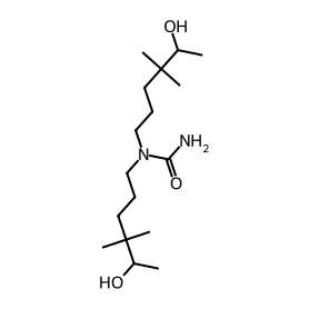 CC(O)C(C)(C)CCCN(CCCC(C)(C)C(C)O)C(N)=O